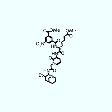 CCC1CC2CCCN(C2)C1NC(=O)Cn1cccc(NC(=O)[C@H](CC/C=C/C(=O)OC)NC(=O)c2cc(C(=O)OC)cc([N+](=O)[O-])c2)c1=O